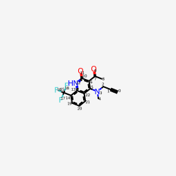 C#CCN(C)c1c(C(C)=O)c(=O)[nH]c2c(C(F)(F)F)cccc12